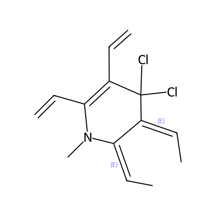 C=CC1=C(C=C)C(Cl)(Cl)C(=C/C)/C(=C\C)N1C